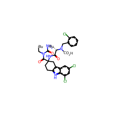 CCC(C)CN(C(N)=O)C(=O)C1(NC(=O)[C@H](C(C)CC)N(Cc2ccccc2Cl)C(=O)O)CCc2[nH]c3c(Cl)cc(Cl)cc3c2C1